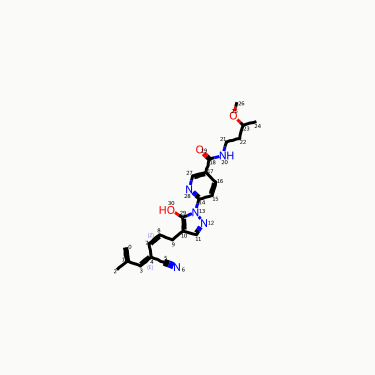 C=C(C)/C=C(C#N)\C=C/Cc1cnn(-c2ccc(C(=O)NCCC(C)OC)cn2)c1O